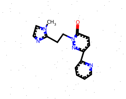 Cn1ccnc1CCn1nc(-c2ccccn2)ccc1=O